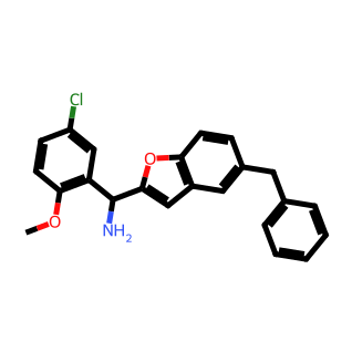 COc1ccc(Cl)cc1C(N)c1cc2cc(Cc3ccccc3)ccc2o1